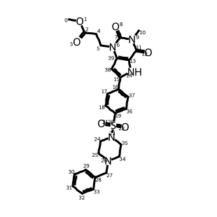 COC(=O)CCn1c(=O)n(C)c(=O)c2[nH]c(-c3ccc(S(=O)(=O)N4CCN(Cc5ccccc5)CC4)cc3)cc21